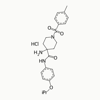 Cc1ccc(S(=O)(=O)N2CCC(N)(C(=O)Nc3ccc(OC(C)C)cc3)CC2)cc1.Cl